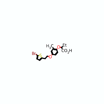 CCC(Oc1ccc(OCCc2ccc(Br)s2)cc1C)C(=O)O